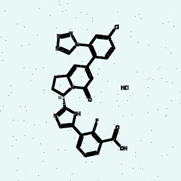 Cl.O=C(O)c1cccc(-c2cnc([C@@H]3CCc4cc(-c5ccc(Cl)cc5-n5cnnn5)cc(=O)n43)[nH]2)c1F